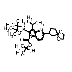 CC(C)c1c(B2OC(C)(C)C(C)(C)O2)n(C(=O)OC(C)(C)C)c2ccc(C3CCC4(C3)OCCO4)nc12